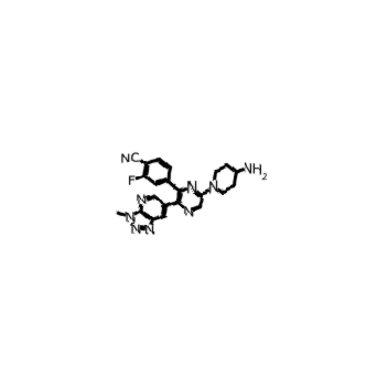 Cn1nnc2cc(-c3ncc(N4CCC(N)CC4)nc3-c3ccc(C#N)c(F)c3)cnc21